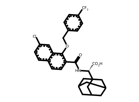 O=C(N[C@H](C(=O)O)C12CC3CC(CC(C3)C1)C2)c1ccc2ccc(Cl)cc2c1OCc1ccc(C(F)(F)F)cc1